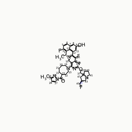 CCc1c(F)ccc2cc(O)cc(-c3ncc4c(N5CCCCC(C(=O)n6ccc(C)n6)CC5)nc(OC[C@@]56CCCN5C/C(=C\F)C6)nc4c3F)c12